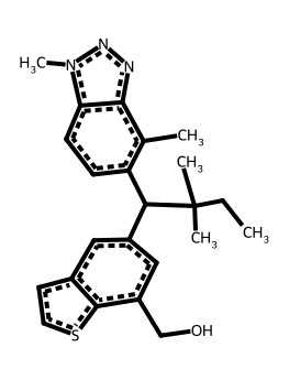 CCC(C)(C)C(c1cc(CO)c2sccc2c1)c1ccc2c(nnn2C)c1C